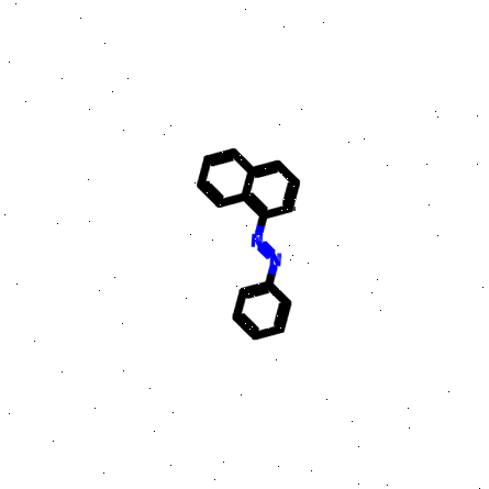 [c]1ccc2ccccc2c1/N=N/c1ccccc1